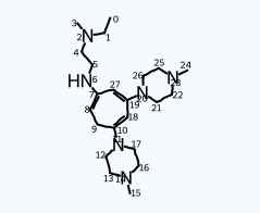 CCN(C)CCNC1=CCC(N2CCN(C)CC2)=CC(N2CCN(C)CC2)=C1